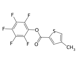 Cc1csc(C(=O)Oc2c(F)c(F)c(F)c(F)c2F)c1